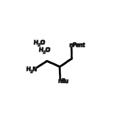 CCCCCCC(CN)CCCC.O.O